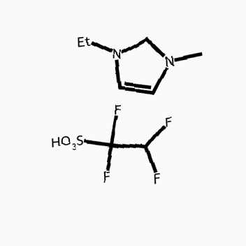 CCN1C=CN(C)C1.O=S(=O)(O)C(F)(F)C(F)F